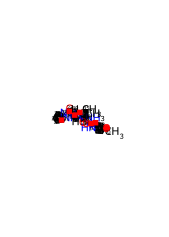 COc1ccc2[nH]c(C(=O)N[C@H](C(=O)N3C[C@@H]4C[C@H]3CN4C(=O)c3nc4ccccc4[nH]3)C(C)(C)C)cc2c1